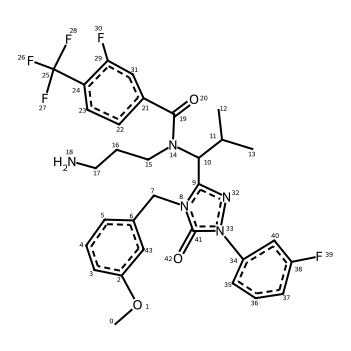 COc1cccc(Cn2c(C(C(C)C)N(CCCN)C(=O)c3ccc(C(F)(F)F)c(F)c3)nn(-c3cccc(F)c3)c2=O)c1